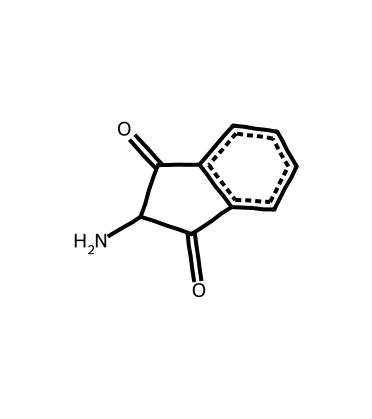 NC1C(=O)c2ccccc2C1=O